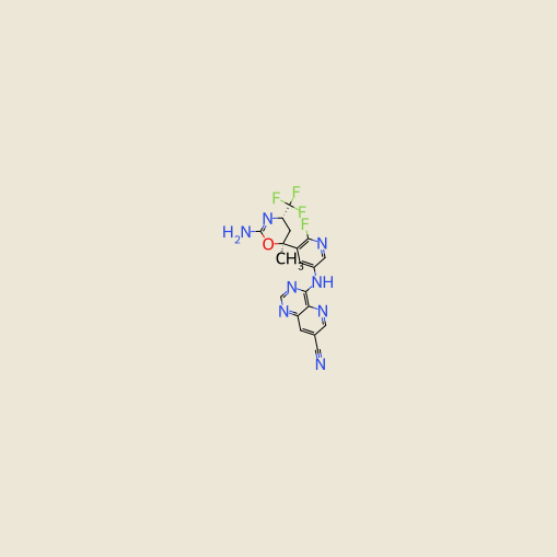 C[C@@]1(c2cc(Nc3ncnc4cc(C#N)cnc34)cnc2F)C[C@@H](C(F)(F)F)N=C(N)O1